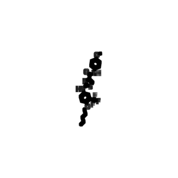 CCCCCOc1ccc(Nc2nc(C(=O)Nc3ccc(OC)cc3)cs2)cc1C(F)(F)F